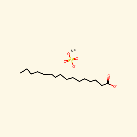 CCCCCCCCCCCCCCCC(=O)[O-].O=S(=O)([O-])[O-].[Al+3]